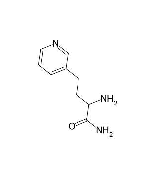 NC(=O)C(N)CCc1cccnc1